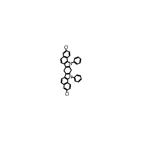 Clc1ccc2c(ccc3c4c(n(-c5ccccc5)c32)Cc2c(c3ccc5cc(Cl)ccc5c3n2-c2ccccc2)C4)c1